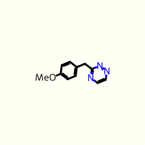 COc1ccc(Cc2nccnn2)cc1